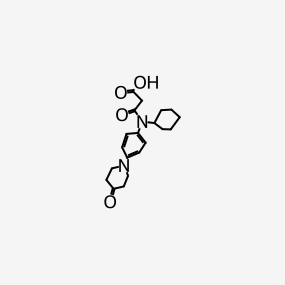 O=C(O)CC(=O)N(c1ccc(N2CCC(=O)CC2)cc1)C1CCCCC1